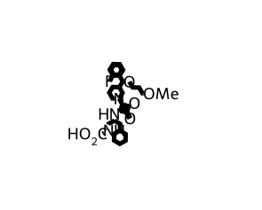 COCCCOC(c1ccccc1F)C1CCCN(c2c(NC(CNC(=O)O)CC3CCCCC3)c(=O)c2=O)C1